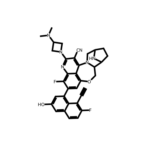 C#Cc1c(F)ccc2cc(O)cc(-c3cc4c5c(c(C#N)c(N6CC(N(C)C)C6)nc5c3F)N3CC5CCC(N5)C3CO4)c12